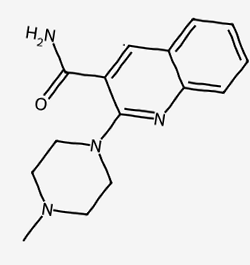 CN1CCN(c2nc3ccccc3[c]c2C(N)=O)CC1